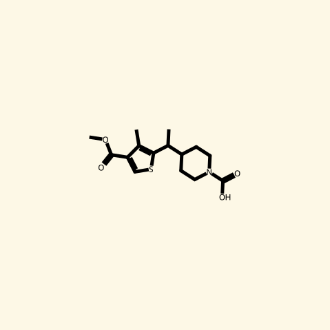 COC(=O)c1csc(C(C)C2CCN(C(=O)O)CC2)c1C